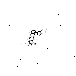 CCN(Cc1cccc(-c2ccc(O)c3c2CC2CC4C(C(=O)C(C(N)=O)=C(O)[C@H]4N(C)C)C(O)=C2C3=O)c1)C(C)C